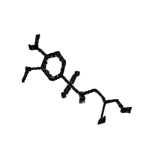 CNc1ccc(S(=O)(=O)NCC(O)CO)cc1OC